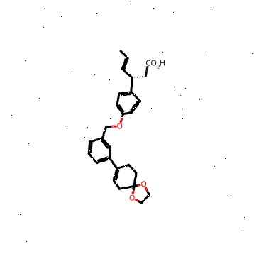 CC=C[C@H](CC(=O)O)c1ccc(OCc2cccc(C3=CCC4(CC3)OCCO4)c2)cc1